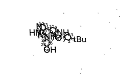 CC(C)(C)c1ccc(C(=O)Nc2ccc(-c3ccnc4[nH]nc(N[C@H]5CC[C@H](O)CC5)c34)cc2F)cc1